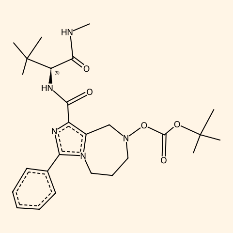 CNC(=O)[C@@H](NC(=O)c1nc(-c2ccccc2)n2c1CN(OC(=O)OC(C)(C)C)CCC2)C(C)(C)C